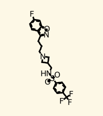 O=S(=O)(NCC1CN(CCCc2noc3cc(F)ccc23)C1)c1ccc(C(F)(F)F)cc1